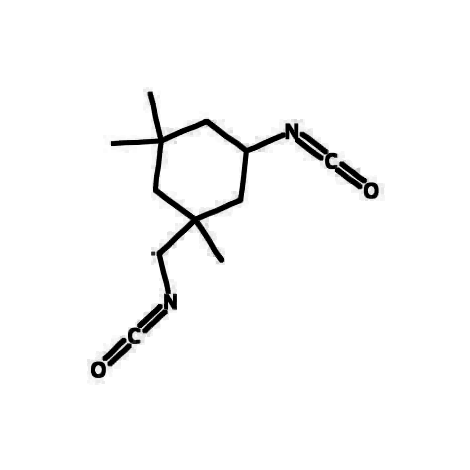 CC1(C)CC(N=C=O)CC(C)([CH]N=C=O)C1